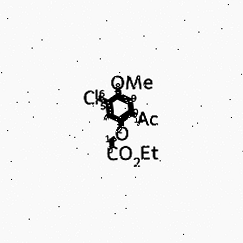 CCOC(=O)COc1cc(Cl)c(OC)cc1C(C)=O